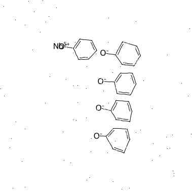 [Nb+5].[O-]c1ccccc1.[O-]c1ccccc1.[O-]c1ccccc1.[O-]c1ccccc1.[O-]c1ccccc1